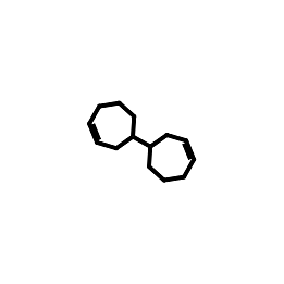 C1=CCC(C2CC=CCCC2)CCC1